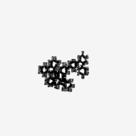 c1ccc(-c2ccccc2-c2ccc(-c3ccc(N(c4c(-c5ccccc5)c5ccccc5c5ccccc45)c4cccc5c4sc4ccccc45)cc3)cc2)cc1